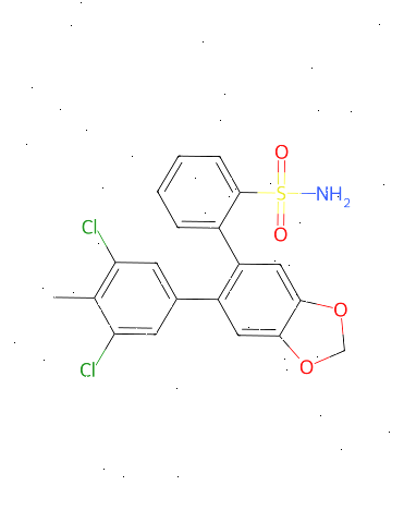 Cc1c(Cl)cc(-c2cc3c(cc2-c2ccccc2S(N)(=O)=O)OCO3)cc1Cl